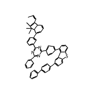 C/C=C\C1=C(C)C(C)(C)C2C(c3cccc(-c4nc(-c5ccccc5)nc(-c5ccc(-c6cccc7sc8ccc(-c9ccc(-c%10ccccc%10)cc9)cc8c67)cc5)n4)c3)=CC=CC12